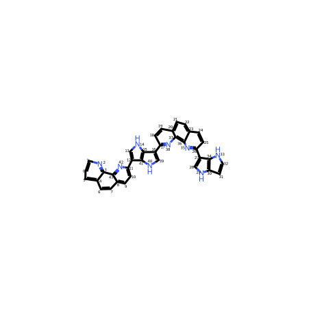 c1cnc2c(c1)ccc1ccc(-c3c[nH]c4c(-c5ccc6ccc7ccc(-c8c[nH]c9cc[nH]c89)nc7c6n5)c[nH]c34)nc12